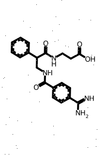 N=C(N)c1ccc(C(=O)NCC(C(=O)NCCC(=O)O)c2ccccc2)cc1